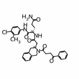 Cc1cc(NC(=O)[C@H](CCC(N)=O)NC(=O)C[C@@H]2Cc3ccccc3CN2C(=O)CCC(=O)c2ccccc2)ccc1Cl